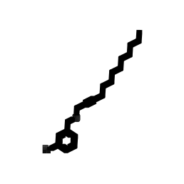 CCCCCCCCCCC#CCOCc1cccc(Br)c1